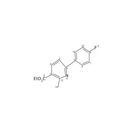 CCOC(=O)c1ccc(-c2ccc(F)cc2)nc1C